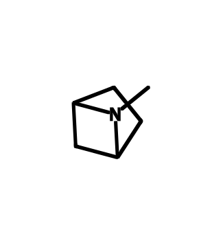 CN1C2CCC1C2